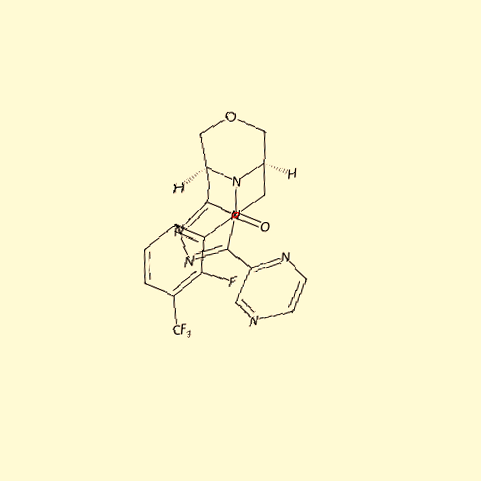 O=C(c1cccc(C(F)(F)F)c1F)N1[C@H]2COC[C@@H]1c1nnc(-c3cnccn3)n1C2